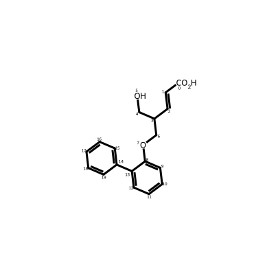 O=C(O)C=CC(CO)COc1ccccc1-c1ccccc1